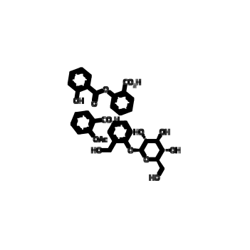 CC(=O)Oc1ccccc1C(=O)O.O=C(Oc1ccccc1C(=O)O)c1ccccc1O.OCc1ccccc1O[C@@H]1O[C@H](CO)[C@@H](O)[C@H](O)[C@H]1O